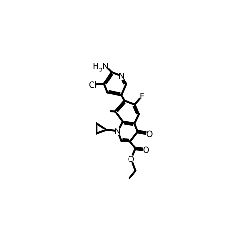 CCOC(=O)c1cn(C2CC2)c2c(C)c(-c3cnc(N)c(Cl)c3)c(F)cc2c1=O